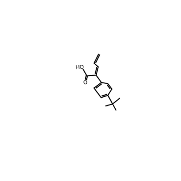 C=CC=C(C(=O)O)c1ccc(C(C)(C)C)cc1